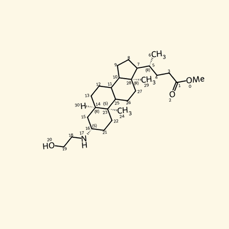 COC(=O)CC[C@@H](C)C1CCC2C3CC[C@@H]4C[C@@H](NCCO)CC[C@]4(C)C3CC[C@@]21C